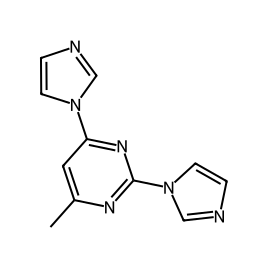 Cc1cc(-n2ccnc2)nc(-n2ccnc2)n1